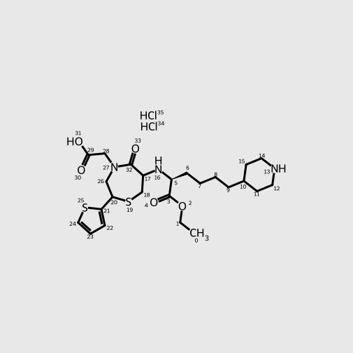 CCOC(=O)[C@H](CCCCC1CCNCC1)NC1CSC(c2cccs2)CN(CC(=O)O)C1=O.Cl.Cl